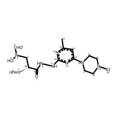 CCCCC[C@H](CN(O)C=O)C(=O)NNc1nc(C)cc(N2CCN(CC)CC2)n1